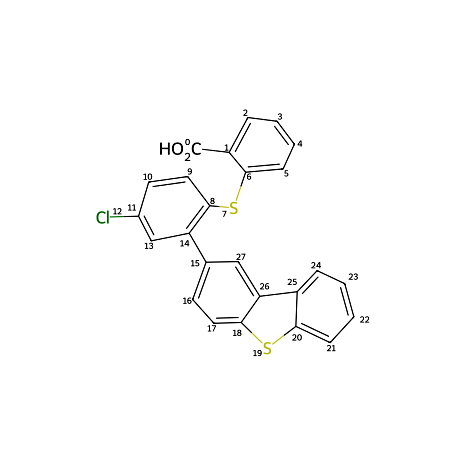 O=C(O)c1ccccc1Sc1ccc(Cl)cc1-c1ccc2sc3ccccc3c2c1